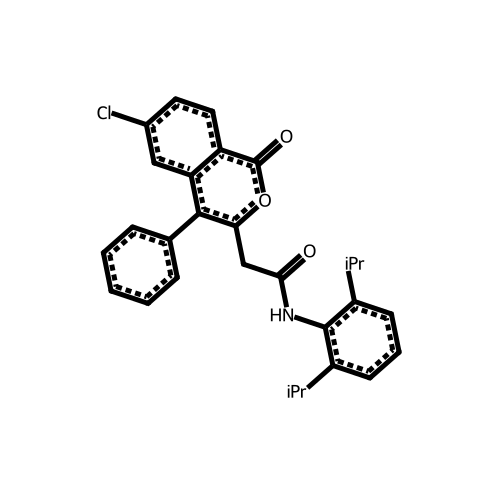 CC(C)c1cccc(C(C)C)c1NC(=O)Cc1oc(=O)c2ccc(Cl)cc2c1-c1ccccc1